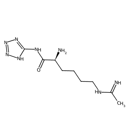 CC(=N)NCCCC[C@H](N)C(=O)Nc1nnn[nH]1